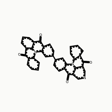 O=c1c2ccccc2n2c3cc(-c4ccc5c(=O)c6cncc7c(=O)c8ccccc8n(c5c4)c76)ccc3c(=O)c3cccc1c32